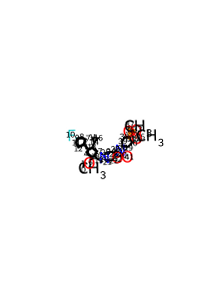 CCOc1cc(-c2ccc(F)cc2)c(C2CC2)cc1CN1CCC2(CC1)CN([C@H]1CC[C@H](P(=O)(OC)OC)CC1)C(=O)O2